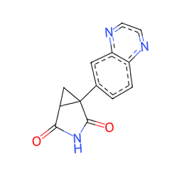 O=C1NC(=O)C2(c3ccc4nccnc4c3)CC12